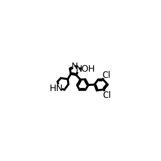 On1ncc(C2CCNCC2)c1-c1cccc(-c2cc(Cl)cc(Cl)c2)c1